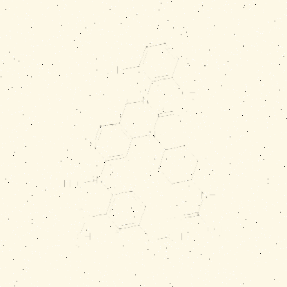 COc1ccc(N(C)c2cc3c(cn2)CN(c2c(C)cccc2F)C(=O)N3C2CCC(NC(=O)O)CC2)c(OC)c1